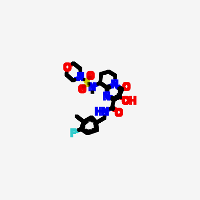 Cc1cc(CNC(=O)c2nc3n(c(=O)c2O)CCCC3N(C)S(=O)(=O)N2CCOCC2)ccc1F